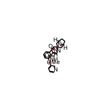 COc1cccc(C(=O)N[C@H]2C[C@H]3CC[C@@H](C2)N3c2ccc(C(=O)NCc3cccnc3)cn2)c1C